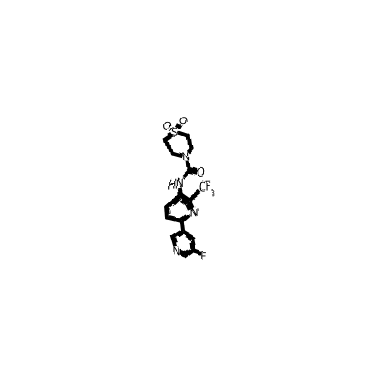 O=C(Nc1ccc(-c2cncc(F)c2)nc1C(F)(F)F)N1CCS(=O)(=O)CC1